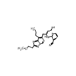 CCCc1c(CC(CC=N)Nc2ncccc2C#N)ncn2nc(CCOC)nc12